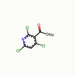 COC(=O)c1c(Cl)cc(Cl)nc1Cl